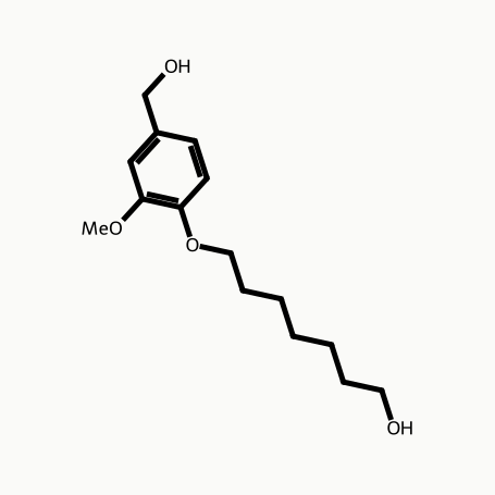 COc1cc(CO)ccc1OCCCCCCCO